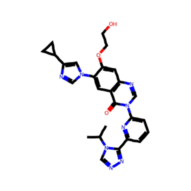 CC(C)n1cnnc1-c1cccc(-n2cnc3cc(OCCO)c(-n4cnc(C5CC5)c4)cc3c2=O)n1